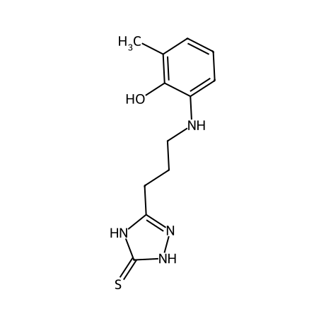 Cc1cccc(NCCCc2n[nH]c(=S)[nH]2)c1O